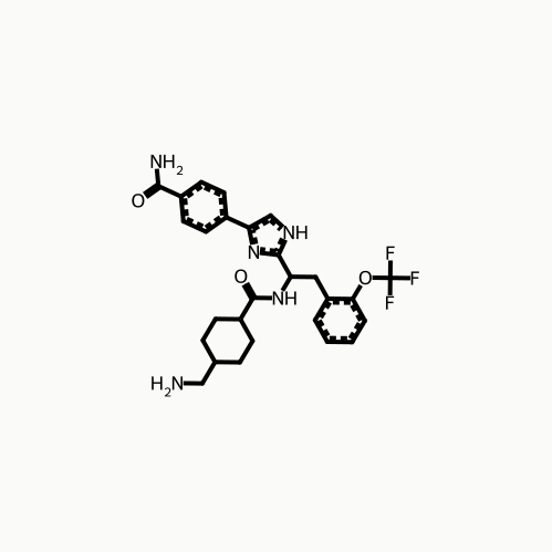 NCC1CCC(C(=O)NC(Cc2ccccc2OC(F)(F)F)c2nc(-c3ccc(C(N)=O)cc3)c[nH]2)CC1